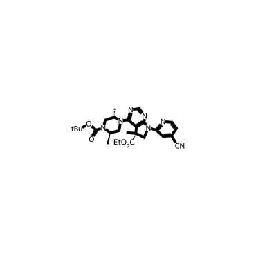 CCOC(=O)[C@@]1(C)CN(c2cc(C#N)ccn2)c2ncnc(N3C[C@@H](C)N(C(=O)OC(C)(C)C)C[C@@H]3C)c21